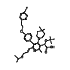 Cc1nc(/C=C/COC(C)C)c(-c2ccc(OCCc3ccc(F)cc3)cc2)c(N2CCC(C)(C)CC2)c1C(OC(C)(C)C)C(=O)O